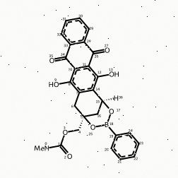 CNC(=O)OC[C@]12Cc3c(O)c4c(c(O)c3[C@H](C1)OB(c1ccccc1)O2)C(=O)c1ccccc1C4=O